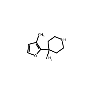 Cc1ccoc1C1(C)CCNCC1